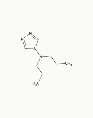 CCCN(CCC)n1cnnc1